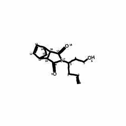 C=CCC(CCO)N1C(=O)C2C3C=CC(C3)C2C1=O